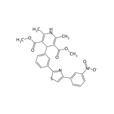 COC(=O)C1=C(C)NC(C)=C(C(=O)OC)C1c1cccc(-c2nc(-c3cccc([N+](=O)[O-])c3)cs2)c1